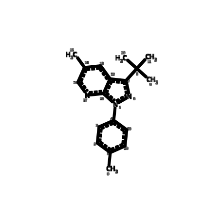 Cc1ccc(-n2nc(C(C)(C)C)c3cc(C)cnc32)cc1